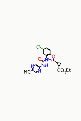 CCOC(=O)C1CC1COc1ccc(Cl)cc1NC(=O)Nc1cnc(C#N)cn1